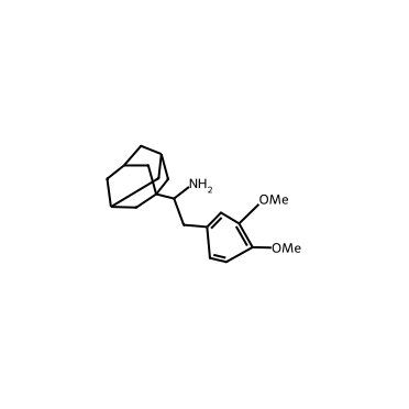 COc1ccc(CC(N)C23CC4CC(CC(C4)C2)C3)cc1OC